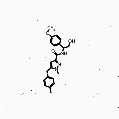 Cc1ccc(Cc2cc(C(=O)NC(CO)c3ccc(OC(F)(F)F)cc3)nn2C)cc1